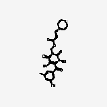 CCn1c(C(=O)c2cc(C)cc(C#N)c2)c(C(C)C)c(=O)n(COC(=O)CCN2CCOCC2)c1=O